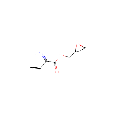 CCC(=N)C(=O)OCC1CO1